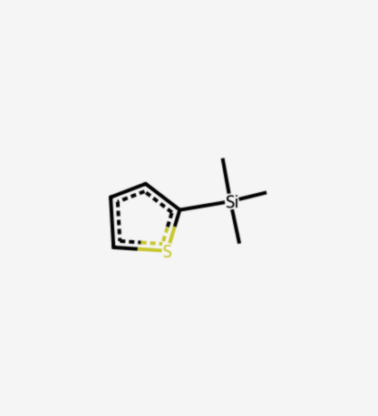 C[Si](C)(C)c1cccs1